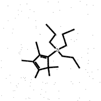 CC[CH2][Zr]([CH2]CC)([CH2]CC)[C]1=C(C)C(C)=C(C)C1(C)C